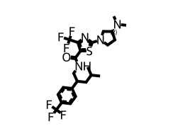 CC(C)CC(CNC(=O)c1sc(N2CC[C@@H](N(C)C)C2)nc1C(F)(F)F)c1ccc(C(F)(F)F)cc1